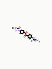 CC(=O)Nc1ccc(C(=O)C(=O)c2ccc(NC(C)=O)cc2)cc1